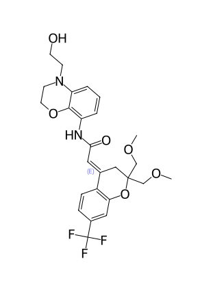 COCC1(COC)C/C(=C\C(=O)Nc2cccc3c2OCCN3CCO)c2ccc(C(F)(F)F)cc2O1